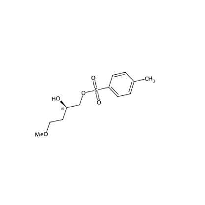 COCC[C@@H](O)COS(=O)(=O)c1ccc(C)cc1